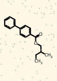 CCC(C)COC(=O)c1ccc(-c2ccccc2)cc1